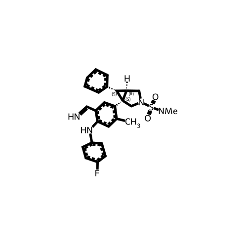 CNS(=O)(=O)N1C[C@@H]2[C@@H](c3ccccc3)[C@]2(c2cc(C=N)c(Nc3ccc(F)cc3)cc2C)C1